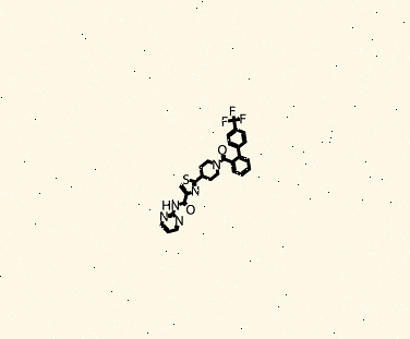 O=C(Nc1ncccn1)c1csc(C2CCN(C(=O)c3ccccc3-c3ccc(C(F)(F)F)cc3)CC2)n1